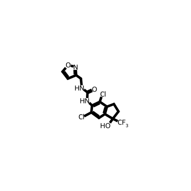 O=C(NCc1ccon1)Nc1c(Cl)cc2c(c1Cl)CCC2(O)C(F)(F)F